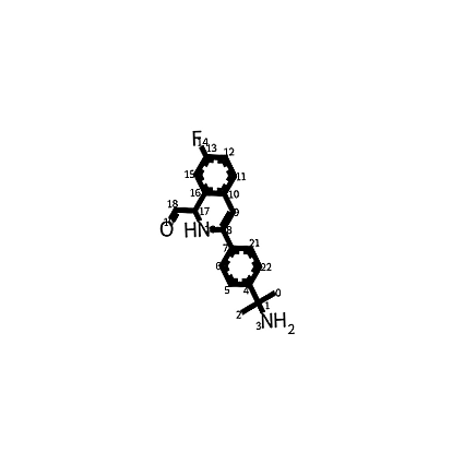 CC(C)(N)c1ccc(C2=Cc3ccc(F)cc3C(C=O)N2)cc1